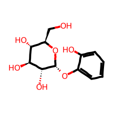 OC[C@H]1O[C@H](Oc2ccccc2O)[C@H](O)[C@@H](O)[C@@H]1O